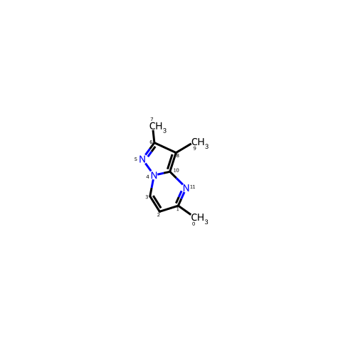 Cc1ccn2nc(C)c(C)c2n1